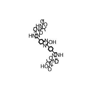 COC(=O)N[C@H](C(=O)N1CCC[C@H]1c1nc(-c2ccc3nc(-c4ccc(-c5c[nH]c([C@@H]6CCCN6C(=O)[C@H](C(C)C)N(C)C(=O)O)n5)cc4)c(O)nc3c2)c[nH]1)C(C)C